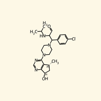 CC(C)NC(C=O)C(c1ccc(Cl)cc1)N1CCN(c2ncnc3c2[C@H](C)C[C@H]3O)CC1